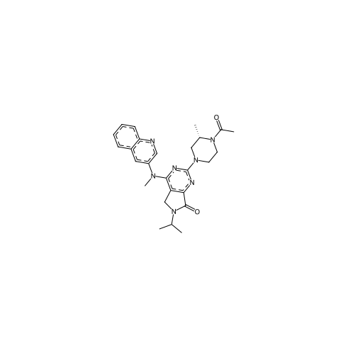 CC(=O)N1CCN(c2nc3c(c(N(C)c4cnc5ccccc5c4)n2)CN(C(C)C)C3=O)C[C@@H]1C